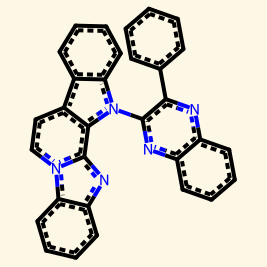 c1ccc(-c2nc3ccccc3nc2-n2c3ccccc3c3ccn4c5ccccc5nc4c32)cc1